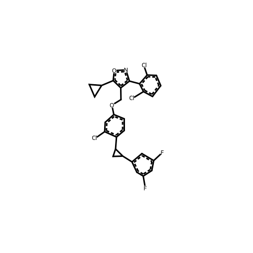 Fc1cc(F)cc(C2CC2c2ccc(OCc3c(-c4c(Cl)cccc4Cl)noc3C3CC3)cc2Cl)c1